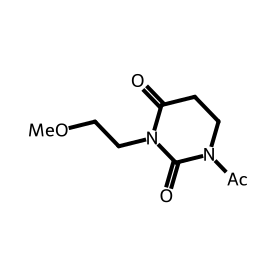 COCCN1C(=O)CCN(C(C)=O)C1=O